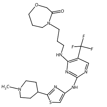 CN1CCC(c2nc(Nc3ncc(C(F)(F)F)c(NCCCN4CCCOCC4=O)n3)cs2)CC1